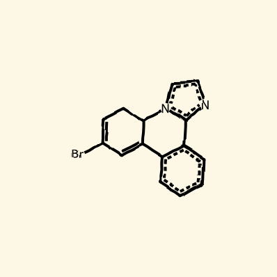 BrC1=CCC2C(=C1)c1ccccc1-c1nccn12